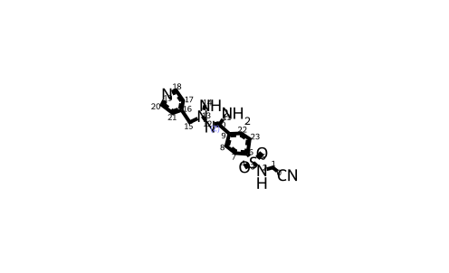 N#CCNS(=O)(=O)c1ccc(/C(N)=N/N(N)Cc2ccncc2)cc1